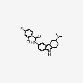 CN(C)C1CCc2[nH]c3ccc(NC(=O)c4ccc(F)cc4Cl)cc3c2C1